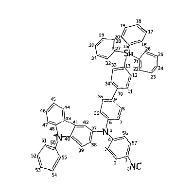 [C-]#[N+]c1ccc(N(c2ccc(-c3ccc([Si](c4ccccc4)(c4ccccc4)c4ccccc4)cc3)cc2)c2ccc3c(c2)c2ccccc2n3-c2ccccc2)cc1